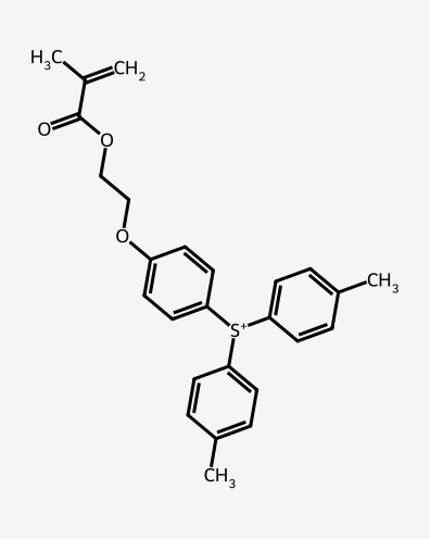 C=C(C)C(=O)OCCOc1ccc([S+](c2ccc(C)cc2)c2ccc(C)cc2)cc1